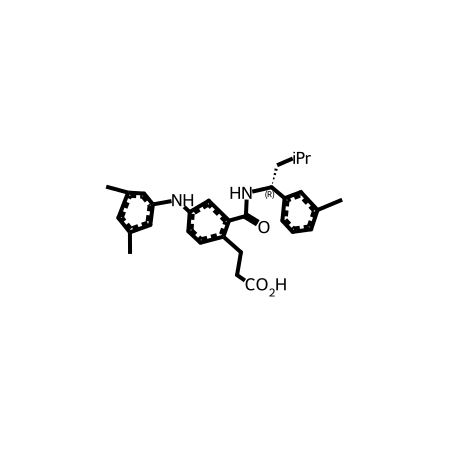 Cc1cc(C)cc(Nc2ccc(CCC(=O)O)c(C(=O)N[C@H](CC(C)C)c3cccc(C)c3)c2)c1